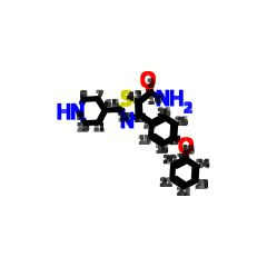 NC(=O)c1sc(C2CCNCC2)nc1-c1ccc(Oc2ccccc2)cc1